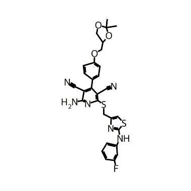 CC1(C)OCC(COc2ccc(-c3c(C#N)c(N)nc(SCc4csc(Nc5cccc(F)c5)n4)c3C#N)cc2)O1